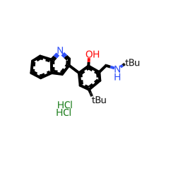 CC(C)(C)NCc1cc(C(C)(C)C)cc(-c2cnc3ccccc3c2)c1O.Cl.Cl